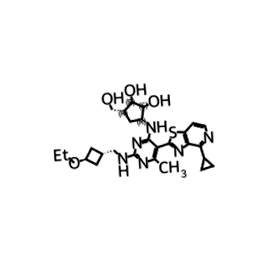 CCO[C@H]1C[C@H](CNc2nc(C)c(-c3nc4c(C5CC5)nccc4s3)c(N[C@@H]3C[C@H](CO)[C@@H](O)[C@H]3O)n2)C1